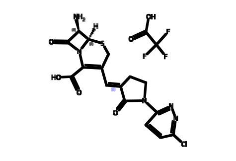 N[C@@H]1C(=O)N2C(C(=O)O)=C(/C=C3\CCN(c4ccc(Cl)nn4)C3=O)CS[C@H]12.O=C(O)C(F)(F)F